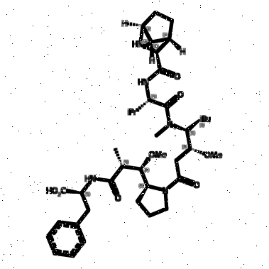 CC[C@H](C)[C@@H]([C@@H](CC(=O)N1CCC[C@H]1[C@H](OC)[C@@H](C)C(=O)N[C@@H](Cc1ccccc1)C(=O)O)OC)N(C)C(=O)[C@@H](NC(=O)[C@H]1N[C@H]2CC[C@H]1[C@@H]2C)C(C)C